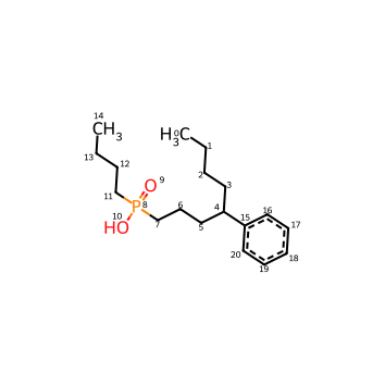 CCCCC(CCCP(=O)(O)CCCC)c1ccccc1